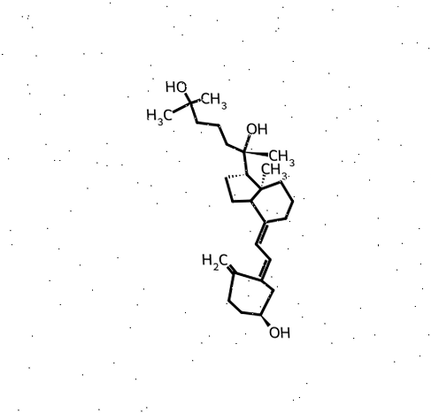 C=C1CC[C@H](O)C/C1=C/C=C1CCC[C@@]2(C)C1CC[C@@H]2[C@@](C)(O)CCCC(C)(C)O